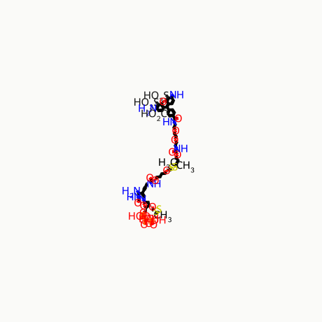 CS(=S)CO[C@H]1CC(N2C=C(C#CCNC(=O)OCCCCOCSSC(C)(C)CCOC(=O)NCCOCCOCCNC(=O)c3ccc(-c4c5ccc(=N)c(S(=O)(=O)O)c-5oc5c(S(=O)(=O)O)c(N)ccc45)c(C(=O)O)c3)C(N)NC2=O)O[C@@H]1COP(=O)(O)OP(=O)(O)OP(=O)(O)O